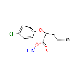 CC(C)CC[C@H](Oc1ccc(Cl)cc1)C(=O)ON